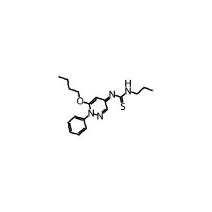 CCCCOc1cc(=NC(=S)NCCC)cnn1-c1ccccc1